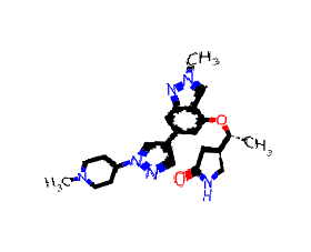 C[C@@H](Oc1cc(-c2cnn(C3CCN(C)CC3)c2)cc2nn(C)cc12)[C@H]1CNC(=O)C1